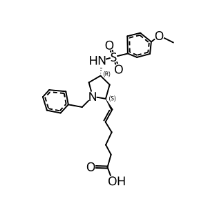 COc1ccc(S(=O)(=O)N[C@@H]2C[C@@H](C=CCCCC(=O)O)N(Cc3ccccc3)C2)cc1